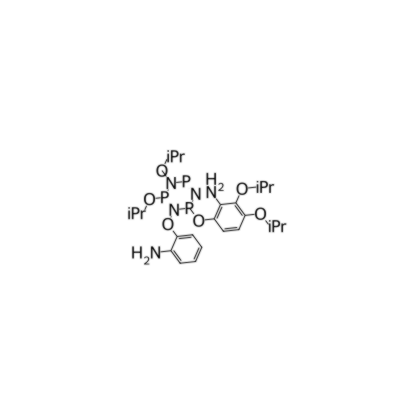 CC(C)Oc1ccc(Op2npn(OC(C)C)p(OC(C)C)n2Oc2ccccc2N)c(N)c1OC(C)C